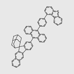 c1ccc2cc3c(cc2c1)-c1ccc(-c2c4ccccc4c(-c4ccc(-c5cccc6sc7ccccc7c56)cc4)c4ccccc24)cc1C31C2CC3CC(C2)CC1C3